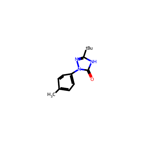 Cc1ccc(-n2nc(C(C)(C)C)[nH]c2=O)cc1